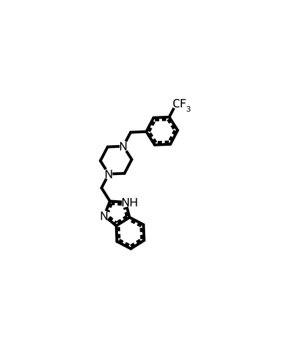 FC(F)(F)c1cccc(CN2CCN(Cc3nc4ccccc4[nH]3)CC2)c1